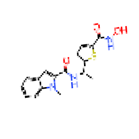 C[C@@H](NC(=O)c1cc2ccccc2n1C)C1CC=C(C(=O)NO)S1